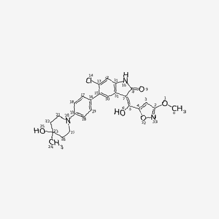 COc1cc(C(O)=C2C(=O)Nc3cc(Cl)c(-c4ccc(N5CCC(C)(O)CC5)cc4)cc32)on1